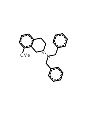 COc1cccc2c1C[C@@H](N(Cc1ccccc1)Cc1ccccc1)CC2